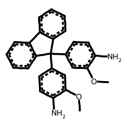 COc1cc(C2(c3ccc(N)c(OC)c3)c3ccccc3-c3ccccc32)ccc1N